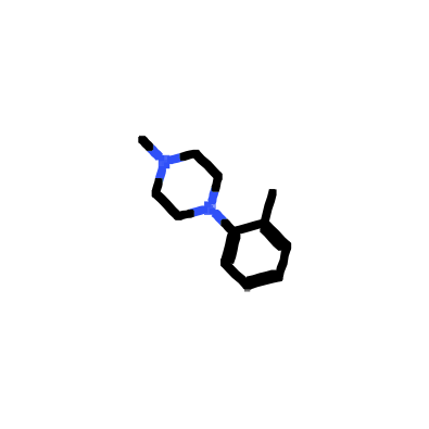 Cc1cc[c]cc1N1CCN(C)CC1